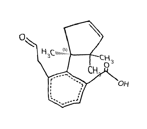 CC1(C)C=CC[C@]1(C)c1c(CC=O)cccc1C(=O)O